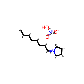 CCCCCCCCN1CCCC1.O=[N+]([O-])O